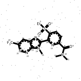 CCS(=O)(=O)c1ccc(C(=O)N(C)C)nc1-c1nc2cc(C(F)(F)F)nnc2n1C